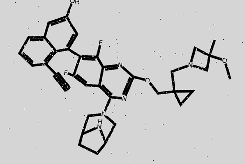 C#Cc1cccc2cc(O)cc(-c3c(F)cc4c(N5CC6CCC(C5)N6)nc(OCC5(CN6CC(C)(OC)C6)CC5)nc4c3F)c12